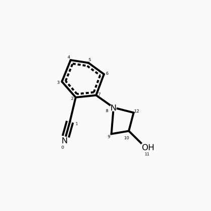 N#Cc1ccccc1N1CC(O)C1